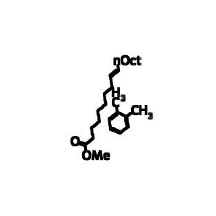 CCCCCCCCC=CCCCCCCCC(=O)OC.Cc1ccccc1C